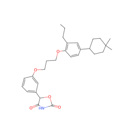 CCCc1cc(C2CCC(C)(C)CC2)ccc1OCCCOc1cccc(C2OC(=O)NC2=O)c1